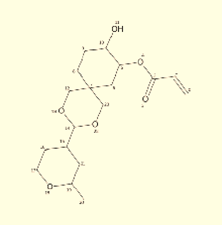 C=CC(=O)OC1CC2(CCC1O)COC(C1CCOC(C)C1)OC2